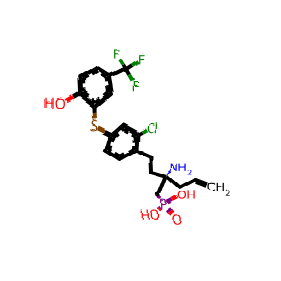 C=CC[C@](N)(CCc1ccc(Sc2cc(C(F)(F)F)ccc2O)cc1Cl)CP(=O)(O)O